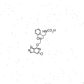 Cn1ncc2cc(Cl)nc(OCCCC(CNC(=O)O)c3ccccc3O)c21